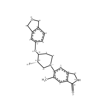 Cc1cc2c(nc1N1CCC(Oc3ccc4c(c3)COC4)[C@@H](F)C1)CNC2=O